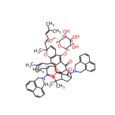 CC(C)=CCCC1(C)C=Cc2c(c(CC=C(C)C)c3c(c2O[C@@H]2O[C@H](CO)[C@@H](O)[C@@H](O)[C@H]2O)C(=O)C2C(N4Cc5cccc6cccc(c56)C4)C4CC5C(C)(C)OC(C/C=C(/C)C(=O)N6Cc7cccc8cccc(c78)C6)(C4=O)C25O3)O1